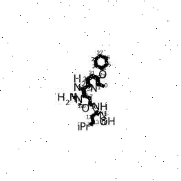 Cc1nc(/C(N)=C(\CC(=O)N/C(CCC(C)C)=N/O)N(C)N)ccc1OC1CCCCC1